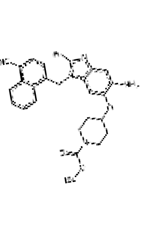 CC(C)c1nc2cc(N)c(OC3CCN(C(=O)OC(C)(C)C)CC3)cc2n1Cc1ccc(C#N)c2ccccc12